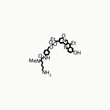 CCc1c2c(nc3ccc(O)cc13)-c1cc([C@H](CC)OC(=O)OCc3ccc(NC(=O)[C@H](CCCCN)NC)cc3)cc(=O)n1C2